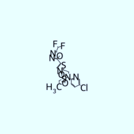 CCS(=O)(=O)N(Cc1ncc(-c2nnc(C(F)F)o2)s1)c1ccc(Cl)cn1